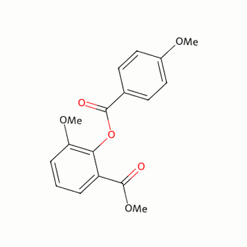 COC(=O)c1cccc(OC)c1OC(=O)c1ccc(OC)cc1